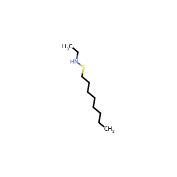 CCCCCCCCSNCC